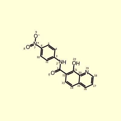 O=C(Nc1ccc([N+](=O)[O-])cc1)c1ccc2cccnc2c1O